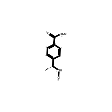 COC(=O)c1ccc([C@@H](C)NCl)cc1